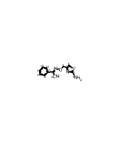 N#CC(=NOCc1csc(N)n1)c1ccccc1